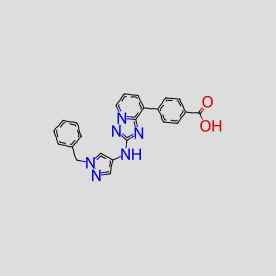 O=C(O)c1ccc(-c2cccn3nc(Nc4cnn(Cc5ccccc5)c4)nc23)cc1